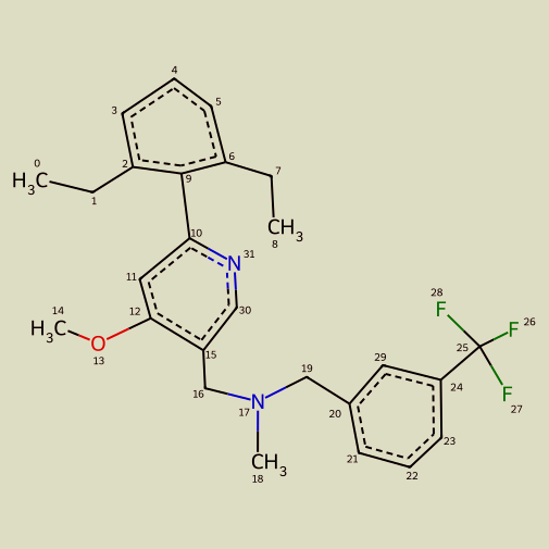 CCc1cccc(CC)c1-c1cc(OC)c(CN(C)Cc2cccc(C(F)(F)F)c2)cn1